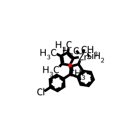 CC1=C(C)C(C)[C]([Zr]([CH3])([CH3])(=[SiH2])[CH]2C=C(c3ccc(Cl)cc3)c3ccccc32)=C1C